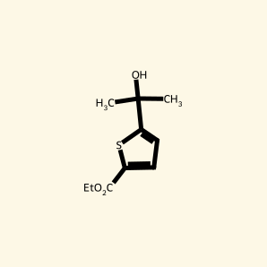 CCOC(=O)c1ccc(C(C)(C)O)s1